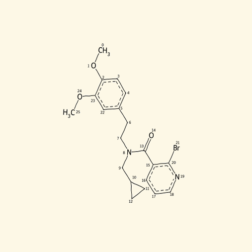 COc1ccc(CCN(CC2CC2)C(=O)c2cccnc2Br)cc1OC